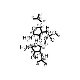 COP(=O)(NC1C(O)[C@H](N)O[C@@H]1CC(C)C)OC[C@H]1O[C@@H](N)C(O)C1NC(C)C